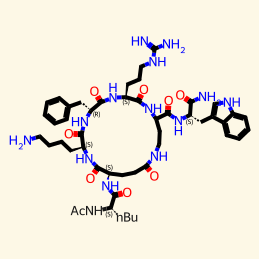 CCCC[C@H](NC(C)=O)C(=O)N[C@H]1CCC(=O)NCCC(C(=O)N[C@@H](Cc2c[nH]c3ccccc23)C(N)=O)NC(=O)[C@H](CCCNC(=N)N)NC(=O)[C@@H](Cc2ccccc2)NC(=O)[C@H](CCCCN)NC1=O